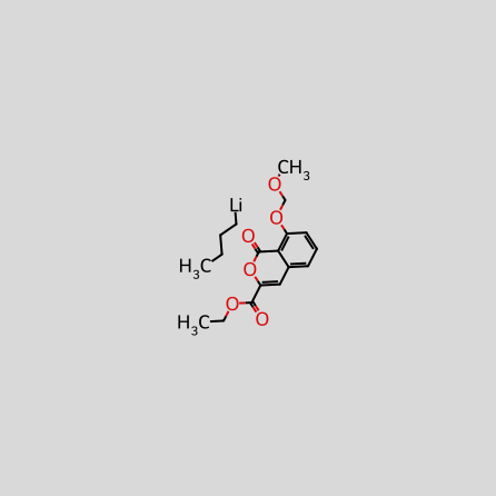 CCOC(=O)c1cc2cccc(OCOC)c2c(=O)o1.[Li][CH2]CCC